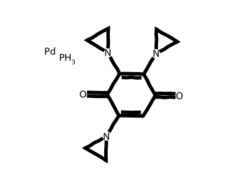 O=C1C=C(N2CC2)C(=O)C(N2CC2)=C1N1CC1.P.[Pd]